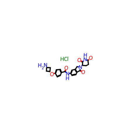 Cl.NC1CC(Oc2ccc(C(=O)Nc3ccc4c(c3)CN(C3CCC(=O)NC3=O)C4=O)cc2)C1